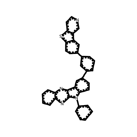 c1ccc(-n2c3ccc(-c4cccc(-c5ccc6sc7ccncc7c6c5)c4)cc3c3nc4ccccc4nc32)cc1